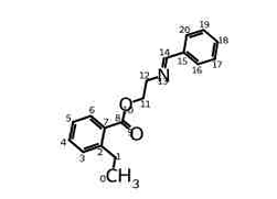 CCc1ccccc1C(=O)OCCN=Cc1ccccc1